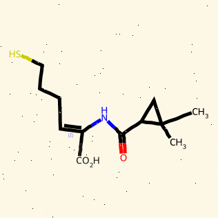 CC1(C)CC1C(=O)N/C(=C\CCCS)C(=O)O